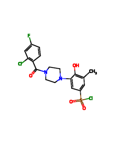 Cc1cc(S(=O)(=O)Cl)cc(N2CCN(C(=O)c3ccc(F)cc3Cl)CC2)c1O